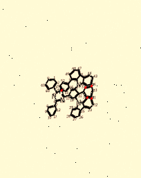 c1ccc(-c2nc(-c3ccccc3)nc(-c3cc(-n4c5ccccc5c5ccccc54)c(-c4ccccc4)c(-n4c5ccccc5c5cccc(-c6ccccc6)c54)c3)n2)cc1